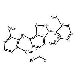 COc1cccc(OC)c1Pc1cc(C(C)C(C)C)cc2c1ONP2c1c(OC)cccc1OC